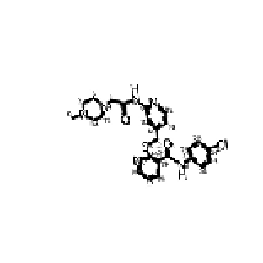 CN1CCN(CC(=O)Nc2cc(CSc3ncccc3C(=O)Nc3ccc(Cl)cc3)ccn2)CC1